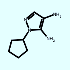 Nc1cnn(C2CCCC2)c1N